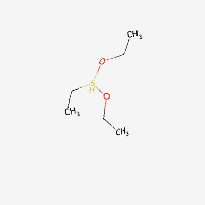 CCO[SH](CC)OCC